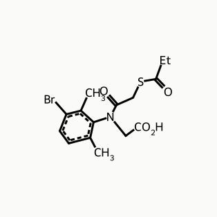 CCC(=O)SCC(=O)N(CC(=O)O)c1c(C)ccc(Br)c1C